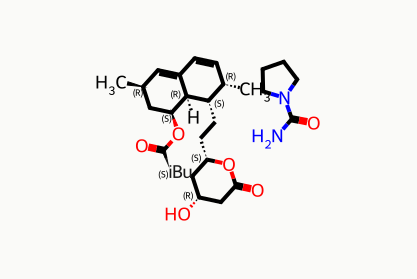 CC[C@H](C)C(=O)O[C@H]1C[C@@H](C)C=C2C=C[C@H](C)[C@H](CC[C@H]3C[C@@H](O)CC(=O)O3)[C@H]21.NC(=O)N1CCCC1